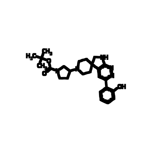 CC(C)(C)OC(=O)N1CCC(N2CCC3(CC2)CNc2nnc(-c4ccccc4O)cc23)C1